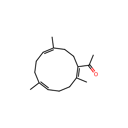 CC(=O)/C1=C(\C)CC/C=C(/C)CC/C=C(/C)CC1